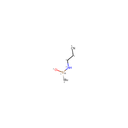 CC(C)(C)[S@+]([O-])N[CH]CC#N